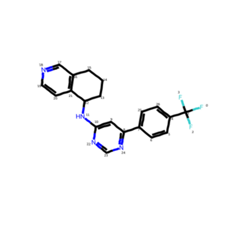 FC(F)(F)c1ccc(-c2cc(NC3CCCc4cnccc43)ncn2)cc1